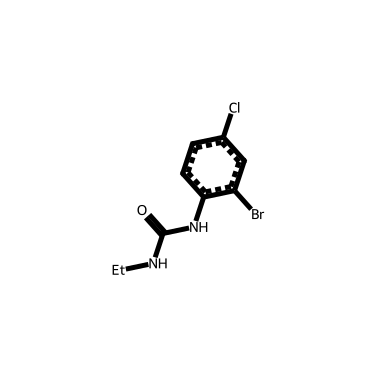 CCNC(=O)Nc1ccc(Cl)cc1Br